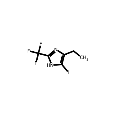 CCc1nc(C(F)(F)F)[nH]c1I